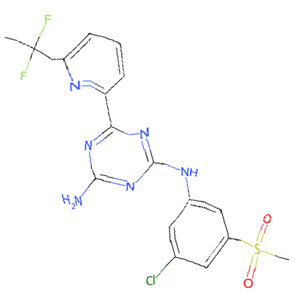 CC(F)(F)c1cccc(-c2nc(N)nc(Nc3cc(Cl)cc(S(C)(=O)=O)c3)n2)n1